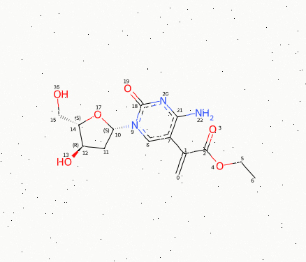 C=C(C(=O)OCC)c1cn([C@@H]2C[C@@H](O)[C@H](CO)O2)c(=O)nc1N